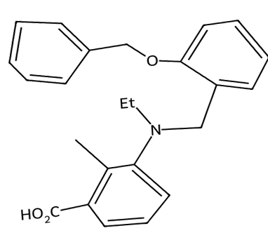 CCN(Cc1ccccc1OCc1ccccc1)c1cccc(C(=O)O)c1C